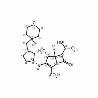 C[C@@H](O)[C@H]1C(=O)N2C(C(=O)O)=C(S[C@@H]3CCN(CC4(F)CCNCC4)C3)[C@H](C)[C@H]12